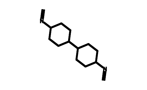 C=NC1CCC(C2CCC(N=C)CC2)CC1